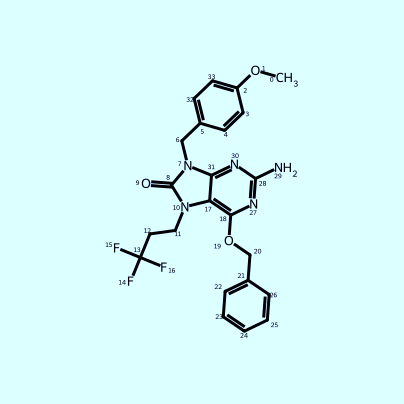 COc1ccc(Cn2c(=O)n(CCC(F)(F)F)c3c(OCc4ccccc4)nc(N)nc32)cc1